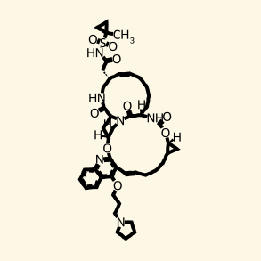 CC1(S(=O)(=O)NC(=O)C[C@@H]2/C=C\CCCC[C@@H]3NC(=O)O[C@@H]4CC4CCC/C=C/c4c(nc5ccccc5c4OCCCN4CCCC4)O[C@@H]4C[C@@H](C(=O)NC2)N(C4)C3=O)CC1